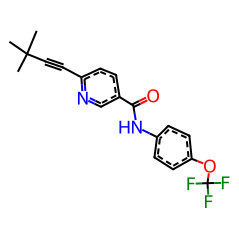 CC(C)(C)C#Cc1ccc(C(=O)Nc2ccc(OC(F)(F)F)cc2)cn1